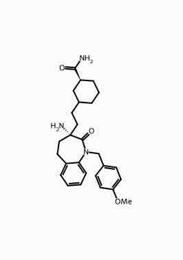 COc1ccc(CN2C(=O)[C@](N)(CCC3CCC[C@H](C(N)=O)C3)CCc3ccccc32)cc1